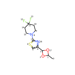 CC1OC(c2csc(N3CCC(F)(F)CC3)n2)O1